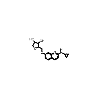 OC1COC(COc2ccc3ccc(NC4CC4)nc3c2)C1O